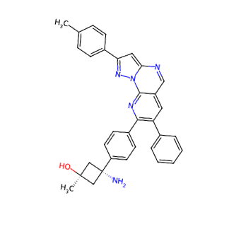 Cc1ccc(-c2cc3ncc4cc(-c5ccccc5)c(-c5ccc([C@]6(N)C[C@](C)(O)C6)cc5)nc4n3n2)cc1